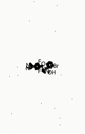 Cn1cc(-c2cc(F)c(C(=O)N3CCN(O)C3c3cccc(Br)c3)c(F)c2)cn1